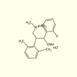 COC(c1c(F)cccc1F)C(CN(C)C)c1c(C)cccc1C.Cl